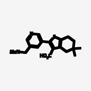 CNCc1cncc(-c2sc3c(c2C(=O)O)CC(C)(C)CC3)c1